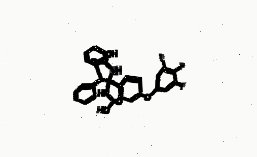 O=C(O)NC(NC(=O)O)(c1ccc(Oc2cc(F)c(F)c(F)c2)cc1)C(c1ccccc1)c1ccccc1